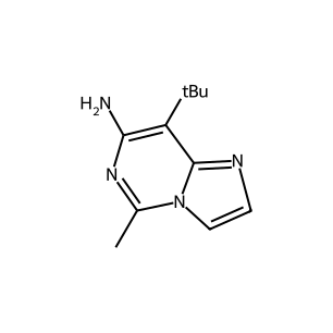 Cc1nc(N)c(C(C)(C)C)c2nccn12